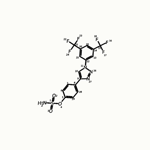 NS(=O)(=O)Oc1ccc(-c2cn(-c3cc(C(F)(F)F)cc(C(F)(F)F)c3)nn2)cc1